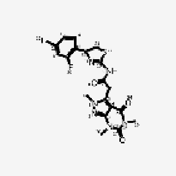 Cn1nc2c(c1CC(=O)NC1=NC(c3ccc(F)cc3F)CS1)c(=O)n(C)c(=O)n2C